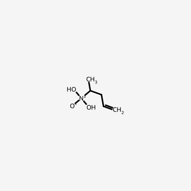 C=CCC(C)[N+]([O-])(O)O